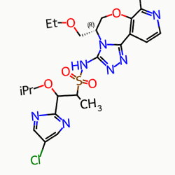 CCOC[C@@H]1COc2c(ccnc2OC)-c2nnc(NS(=O)(=O)C(C)C(OC(C)C)c3ncc(Cl)cn3)n21